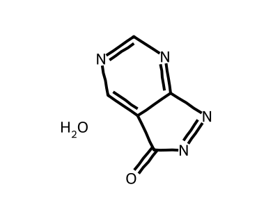 O.O=C1N=Nc2ncncc21